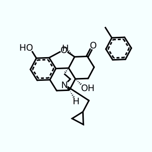 Cc1ccccc1.O=C1CC[C@@]2(O)[C@H]3Cc4ccc(O)c5c4[C@@]2(CCN3CC2CC2)[C@H]1O5